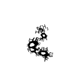 CS(=O)(=O)Nc1cccc(CNc2ccc3ncc(C#N)c(Nc4ccc(F)c(Cl)c4)c3c2)c1